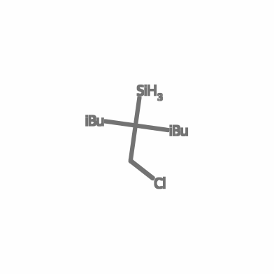 CCC(C)C([SiH3])(CCl)C(C)CC